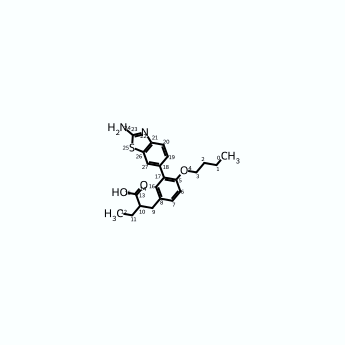 CCCCOc1ccc(CC(CC)C(=O)O)cc1-c1ccc2nc(N)sc2c1